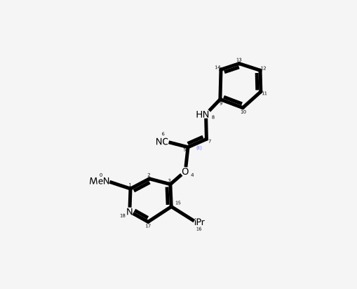 CNc1cc(O/C(C#N)=C/Nc2ccccc2)c(C(C)C)cn1